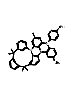 Cc1cc2c3c(c1)N1c4cccc(c4)C(C)(C)c4cccc(c4)C(C)(C)c4ccc(c1c4)B3c1cc(C(C)(C)C)ccc1N2c1ccc(C(C)(C)C)cc1